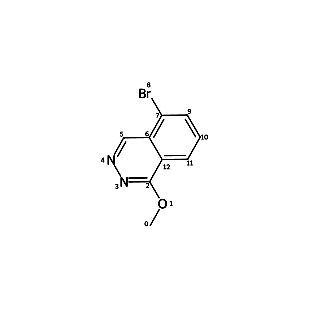 COc1nncc2c(Br)cccc12